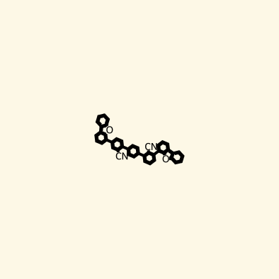 N#Cc1cc(-c2cccc3c2oc2ccccc23)ccc1-c1ccc(-c2cccc(-c3cccc4c3oc3ccccc34)c2C#N)cc1